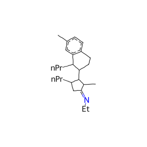 CCCC1C/C(=N\CC)C(C)C1C1CCc2ccc(C)cc2C1CCC